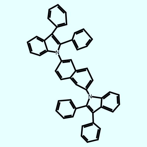 c1ccc(-c2c(-c3ccccc3)n(-c3ccc4cc(-n5c(-c6ccccc6)c(-c6ccccc6)c6ccccc65)ccc4c3)c3ccccc23)cc1